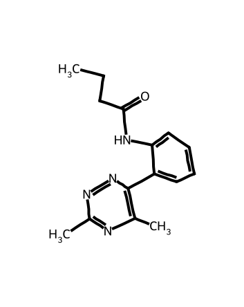 CCCC(=O)Nc1ccccc1-c1nnc(C)nc1C